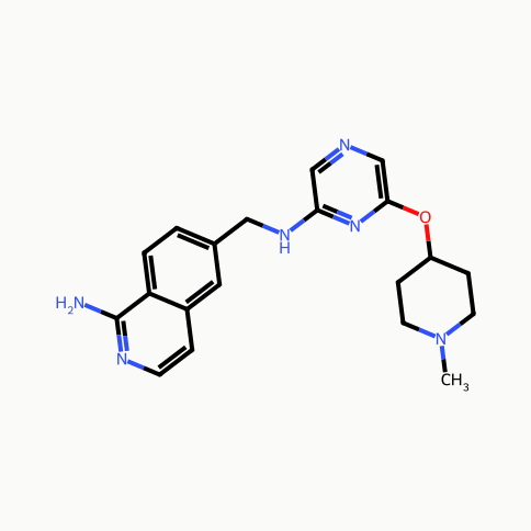 CN1CCC(Oc2cncc(NCc3ccc4c(N)nccc4c3)n2)CC1